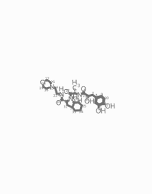 C[C@H](NC(=O)[C@H](O)Cc1ccc(O)c(O)c1)C(=O)N1[C@H](C(=O)NCCN2CCOCC2)CC2CCCC[C@@H]21